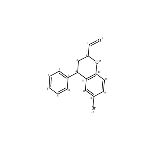 O=CC1CC(c2ccccc2)c2cc(Br)ccc2O1